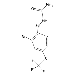 NC(=O)N[Se]c1ccc(SC(F)(F)F)cc1Br